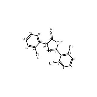 Fc1cccc(Cl)c1-c1nn(-c2ccccc2Cl)c(=S)o1